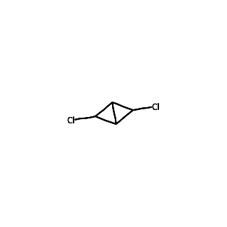 ClC1C2C(Cl)C12